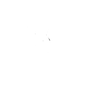 C[C@]12CC[C@@H]3[C@@H](CCC4CCC=C[C@@]43C)[C@@H]1CC(Oc1ccc(Cl)cc1)C2